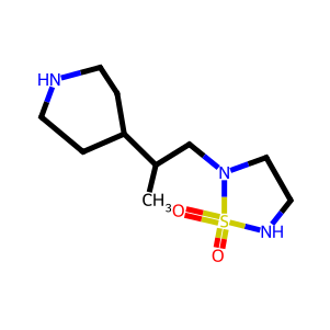 CC(CN1CCNS1(=O)=O)C1CCNCC1